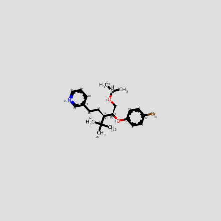 C[SiH](C)OC[C@@H](Oc1ccc(Br)cc1)[C@H](CCc1cccnc1)C(C)(C)C